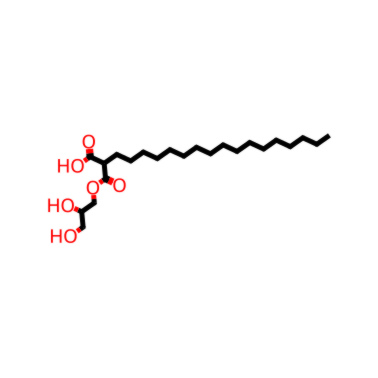 CCCCCCCCCCCCCCCCCC(C(=O)O)C(=O)OCC(O)CO